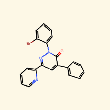 O=c1c(-c2ccccc2)cc(-c2ccccn2)nn1-c1ccccc1Br